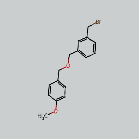 COc1ccc(COCc2cccc(CBr)c2)cc1